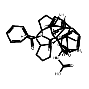 CC1(C(N)=O)Cc2ccc(cc2)[C@]1(C(=O)NC(=O)O)N1CCCC1N(c1ccccc1)C1CCCN1[C@@]1(C(=O)NC(=O)O)c2ccc(cc2)CC1(C)C(N)=O